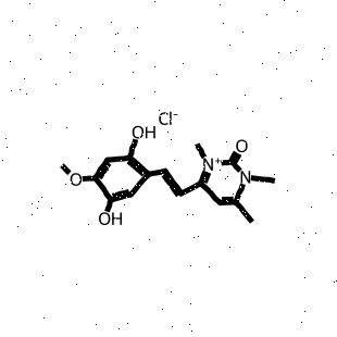 COc1cc(O)c(C=Cc2cc(C)n(C)c(=O)[n+]2C)cc1O.[Cl-]